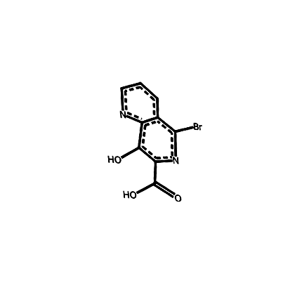 O=C(O)c1nc(Br)c2cccnc2c1O